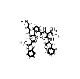 CN[C@@H](Cc1ccccc1)C(=O)N[C@@H](CCCCN)C(=O)N1CCC[C@H]1C(=O)N[C@H](C(=O)N[C@H]([C]=O)Cc1ccccc1)C(C)C